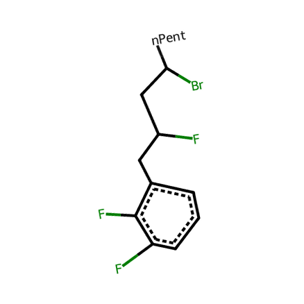 CCCCCC(Br)CC(F)Cc1cccc(F)c1F